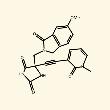 COc1ccc2c(c1)C(=O)N(C[C@@]1(C#Cc3cccn(C)c3=O)NC(=O)NC1=O)C2